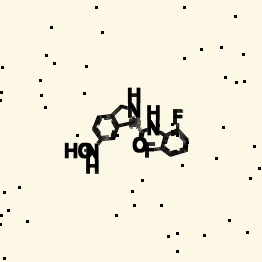 O=C(Nc1c(F)cccc1F)[C@H]1NCc2ccc(NO)cc21